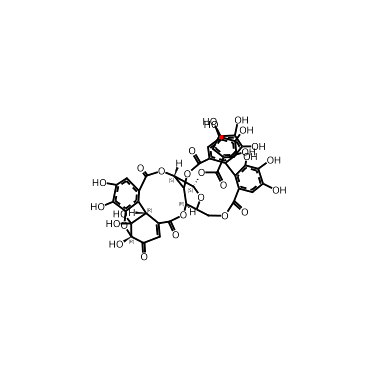 O=C1O[C@@H]2C3COC(=O)c4cc(O)c(O)c(O)c4-c4c(cc(O)c(O)c4O)C(=O)OC2[C@H](OC(=O)c2cc(O)c(O)c4c2[C@@H]2C1=CC(=O)[C@](O)(O4)C2(O)O)[C@H](OC(=O)c1cc(O)c(O)c(O)c1)O3